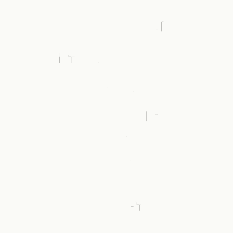 CC(C)c1ccc(Cc2ccc(C(C)C)cc2C(C)C)c(C(C)C)c1